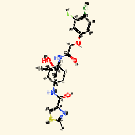 Cc1nc(C(=O)NC23CCC(NC(=O)COc4ccc(Cl)c(F)c4)(CC2)[C@@H](O)C3)cs1